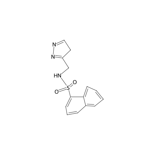 O=S(=O)(NCC1=NN=CC1)c1cccc2ccccc12